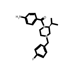 CC(C)[C@H]1CN(Cc2ccc(F)cc2)CCN1C(=O)c1ccc(N)cc1